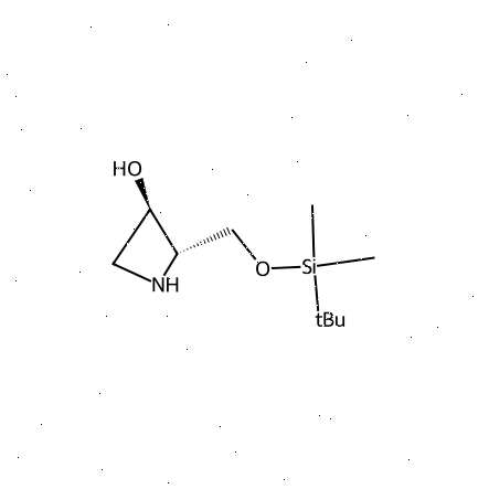 CC(C)(C)[Si](C)(C)OC[C@@H]1NC[C@H]1O